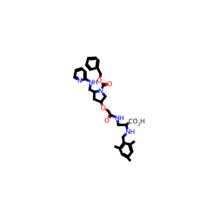 Cc1cc(C)c(CNC(CNC(=O)COC2CC(CNc3ccccn3)N(C(=O)OCc3ccccc3)C2)C(=O)O)c(C)c1